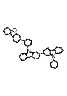 c1ccc(-n2c3ccccc3c3ccc(-c4ccc5c6ccccc6n(-c6cccc(-c7ccc8c(c7)oc7ccccc78)c6)c5c4)cc32)cc1